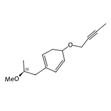 CC#CCOC1C=CC(C[C@H](C)OC)=CC1